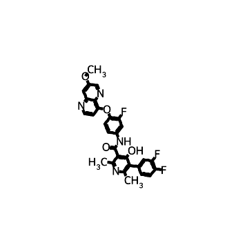 COc1cnc2c(Oc3ccc(NC(=O)c4c(C)nc(C)c(-c5ccc(F)c(F)c5)c4O)cc3F)ccnc2c1